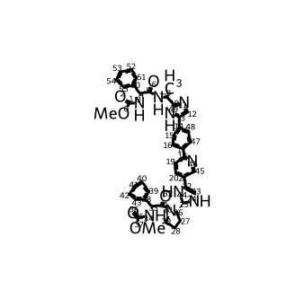 COC(=O)N[C@@H](C(=O)N[C@@H](C)c1ncc(-c2ccc(-c3ccc(C4=CNC([C@@H]5CCCN5C(=O)[C@H](NC(=O)OC)c5ccccc5)N4)cn3)cc2)[nH]1)c1ccccc1